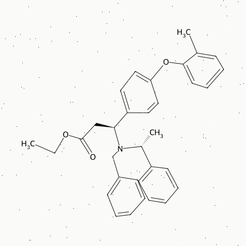 CCOC(=O)C[C@@H](c1ccc(Oc2ccccc2C)cc1)N(Cc1ccccc1)[C@H](C)c1ccccc1